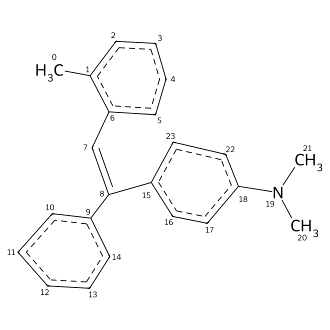 Cc1ccccc1C=C(c1ccccc1)c1ccc(N(C)C)cc1